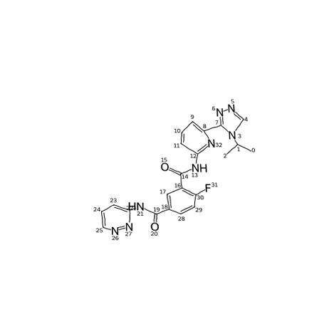 CC(C)n1cnnc1-c1cccc(NC(=O)c2cc(C(=O)Nc3cccnn3)ccc2F)n1